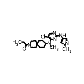 CCC(=O)N1CCC2(CCC(N(C)c3nc(Nc4cnn(C)c4)ncc3Cl)CC2)CC1